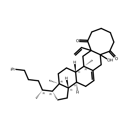 C=CC12C[C@@]3(C)C(=CC[C@H]4[C@@H]5CC[C@H]([C@H](C)CCCC(C)C)[C@@]5(C)CC[C@@H]43)CC1(O)C(=O)CCCCC2=O